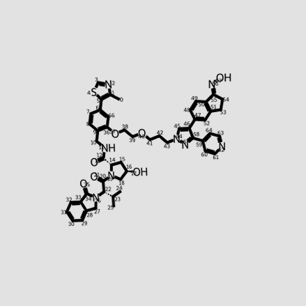 Cc1ncsc1-c1ccc(CNC(=O)[C@@H]2C[C@@H](O)CN2C(=O)[C@H](C(C)C)N2Cc3ccccc3C2=O)c(OCCOCCCn2cc(-c3ccc4c(c3)CC/C4=N\O)c(-c3ccncc3)n2)c1